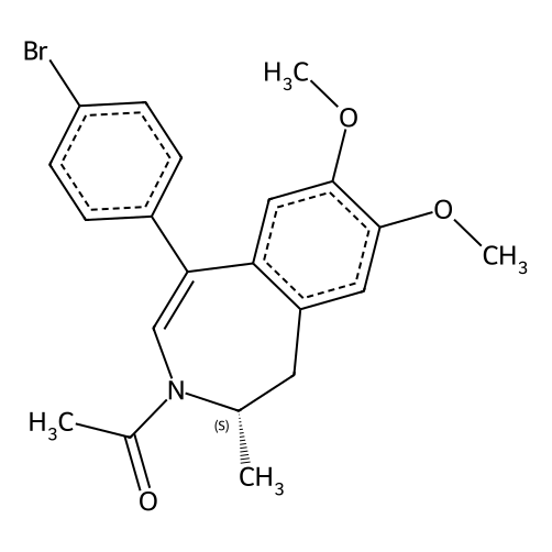 COc1cc2c(cc1OC)C(c1ccc(Br)cc1)=CN(C(C)=O)[C@@H](C)C2